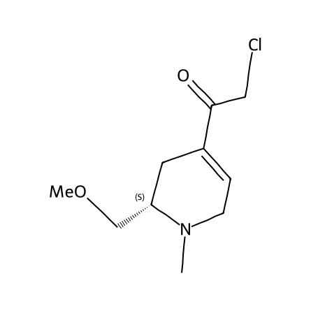 COC[C@@H]1CC(C(=O)CCl)=CCN1C